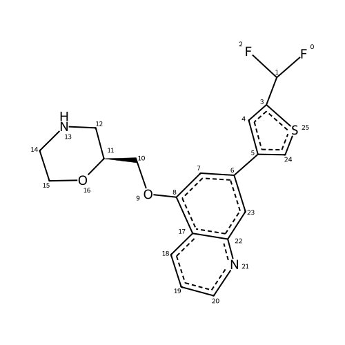 FC(F)c1cc(-c2cc(OC[C@@H]3CNCCO3)c3cccnc3c2)cs1